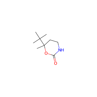 CC(C)(C)C1(C)CCNC(=O)O1